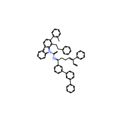 C=C/C(=C\CC/C(=N\C(=C)n1c2ccccc2c2ccc(-c3ccccc3C)c(CCc3ccccc3)c21)c1cccc(-c2cccc(-c3ccccc3)c2)c1)c1ccccc1